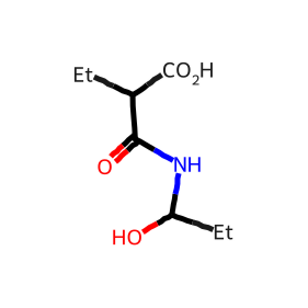 CCC(O)NC(=O)C(CC)C(=O)O